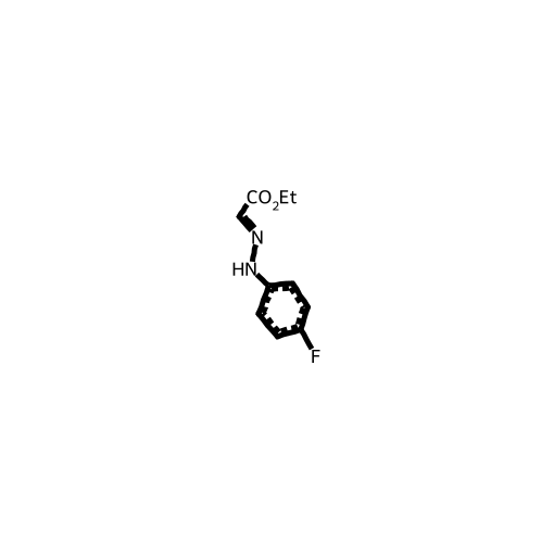 CCOC(=O)C=NNc1ccc(F)cc1